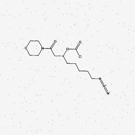 [N-]=[N+]=NCCCCCC(CC(=O)N1CCOCC1)OC(=O)Cl